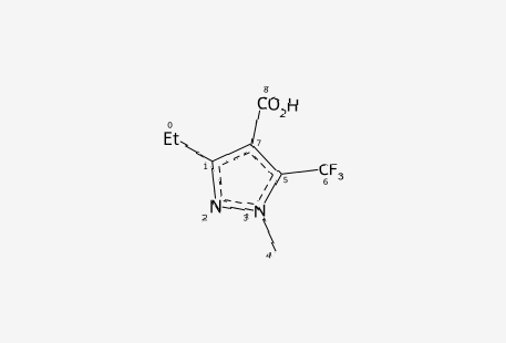 CCc1nn(C)c(C(F)(F)F)c1C(=O)O